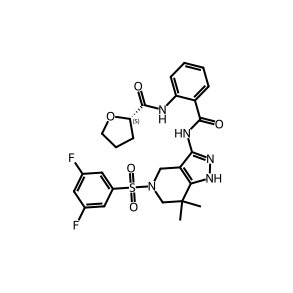 CC1(C)CN(S(=O)(=O)c2cc(F)cc(F)c2)Cc2c(NC(=O)c3ccccc3NC(=O)[C@@H]3CCCO3)n[nH]c21